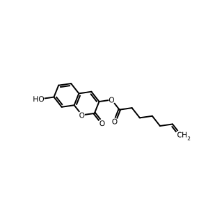 C=CCCCCC(=O)Oc1cc2ccc(O)cc2oc1=O